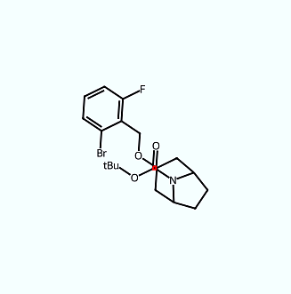 CC(C)(C)OC(=O)N1C2CCC1CC(OCc1c(F)cccc1Br)C2